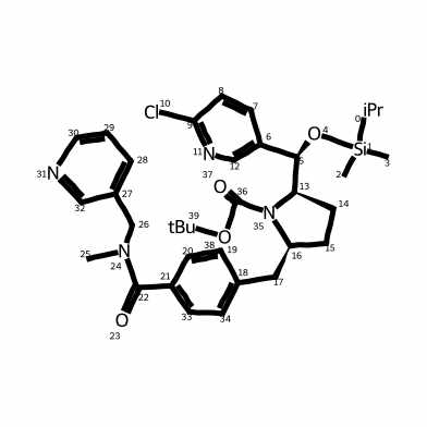 CC(C)[Si](C)(C)O[C@H](c1ccc(Cl)nc1)[C@H]1CC[C@@H](Cc2ccc(C(=O)N(C)Cc3cccnc3)cc2)N1C(=O)OC(C)(C)C